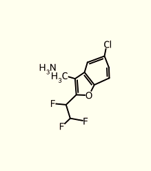 Cc1c(C(F)C(F)F)oc2ccc(Cl)cc12.N